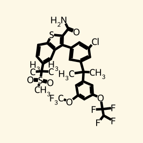 CC(C)(c1cc(OC(F)(F)F)cc(OC(F)(F)C(F)F)c1)c1cc(Cl)cc(-c2c(C(N)=O)sc3ccc(C(C)(C)S(C)(=O)=O)cc23)c1